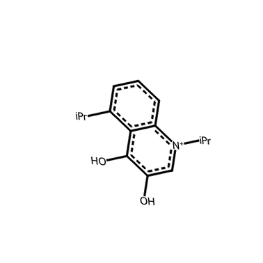 CC(C)c1cccc2c1c(O)c(O)c[n+]2C(C)C